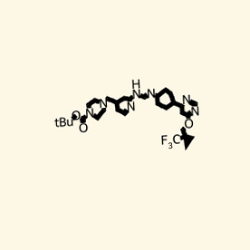 CC(C)(C)OC(=O)N1CCN(CC2CC=NC(N/C=N/C3CCC(C4CC(OCC5(C(F)(F)F)CC5)=NC=N4)CC3)C2)CC1